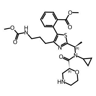 COC(=O)NCCCc1nc([C@@H](C)N(C(=O)[C@H]2CNCCO2)C2CC2)sc1-c1ccccc1C(=O)OC